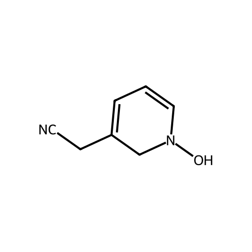 N#CCC1=CC=CN(O)C1